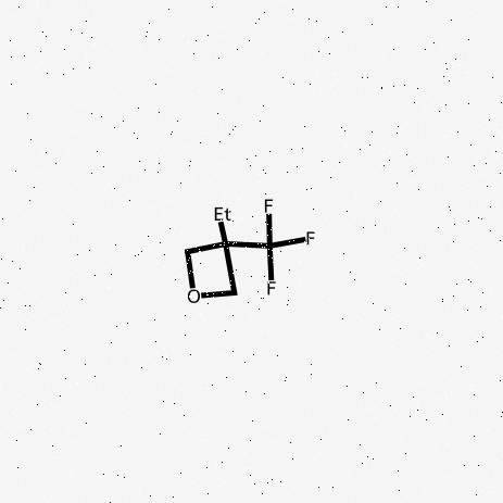 CCC1(C(F)(F)F)COC1